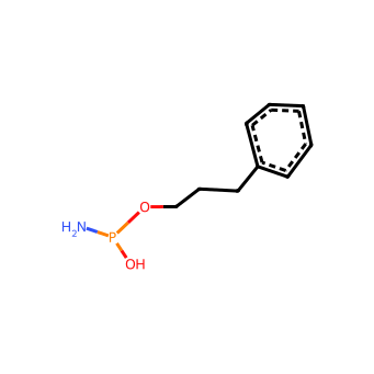 NP(O)OCCCc1ccccc1